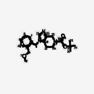 COCc1ncccc1Cn1cnc2c1CCN(C(=O)OC(C)(C)C)C2